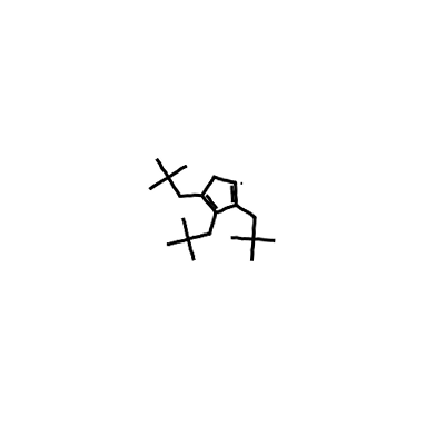 CC(C)(C)CC1=[C]CC(CC(C)(C)C)=C1CC(C)(C)C